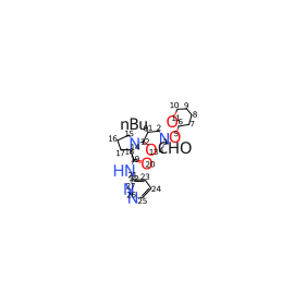 CCCCC(CN(C=O)OC1CCCCO1)C(=O)N1CCCC1C(=O)Nc1cccnn1